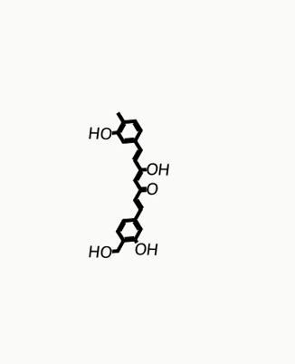 Cc1ccc(/C=C/C(O)=C/C(=O)/C=C/c2ccc(CO)c(O)c2)cc1O